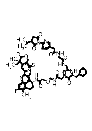 CC[C@@]1(O)C(=O)OCc2c1cc1n(c2=S)Cc2c-1nc1cc(F)c(C)c3c1c2[C@H](NC(=O)COCNC(=O)CNC(=O)[C@H](Cc1ccccc1)NC(=O)CNC(=O)CNC(=O)Cc1ccc(N2C(=O)CC(C(C)C)C2=O)nc1)CC3